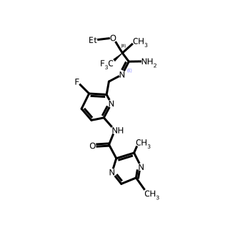 CCO[C@](C)(/C(N)=N\Cc1nc(NC(=O)c2ncc(C)nc2C)ccc1F)C(F)(F)F